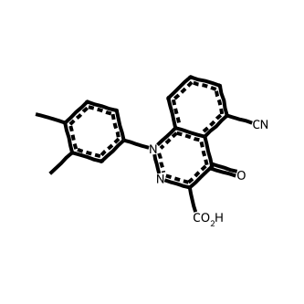 Cc1ccc(-n2nc(C(=O)O)c(=O)c3c(C#N)cccc32)cc1C